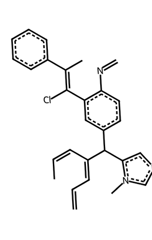 C=C/C=C(\C=C/C)C(c1ccc(N=C)c(/C(Cl)=C(\C)c2ccccc2)c1)c1cncn1C